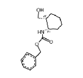 O=C(N[C@H]1CCCC[C@H]1CO)OCc1ccccc1